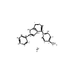 Cc1ccc(-c2cccc3c2C=C(c2ccccc2)[CH]3)cc1.[Zr]